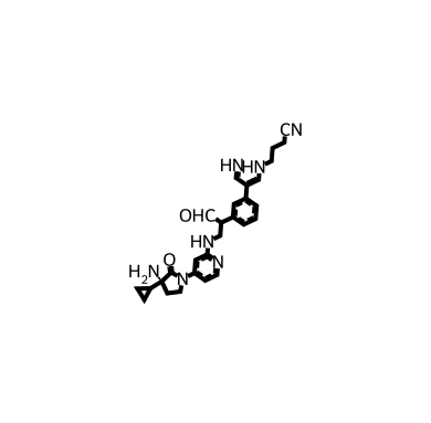 N#CCCCN/C=C(\C=N)c1cccc(C(C=O)CNc2cc(N3CC[C@@](N)(C4CC4)C3=O)ccn2)c1